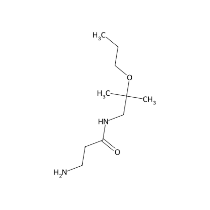 CCCOC(C)(C)CNC(=O)CCN